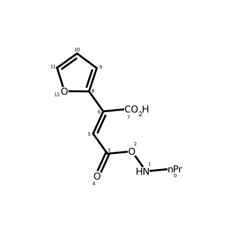 CCCNOC(=O)/C=C(\C(=O)O)c1ccco1